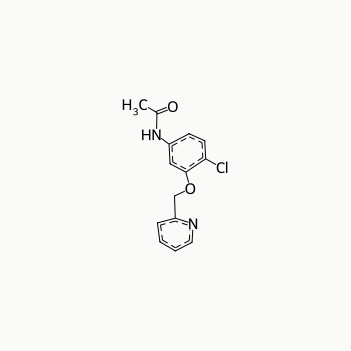 CC(=O)Nc1ccc(Cl)c(OCc2ccccn2)c1